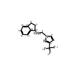 FC(F)(F)c1ccn(CNC2CCc3ccccc32)n1